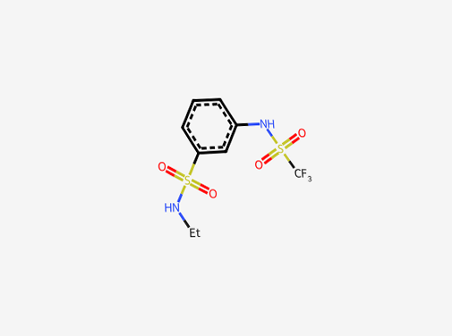 CCNS(=O)(=O)c1cccc(NS(=O)(=O)C(F)(F)F)c1